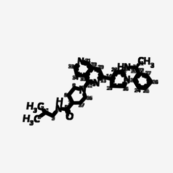 CC(C)CNC(=O)C1CCN(c2nc(-c3ccnc(N[C@@H](C)c4ccccc4)c3)cc3cnccc23)CC1